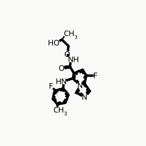 Cc1ccc(Nc2c(C(=O)NOC[C@H](C)O)cc(F)c3cncn23)c(F)c1